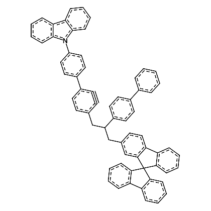 c1c(CC(Cc2ccc3c(c2)C2(c4ccccc4-c4ccccc42)c2ccccc2-3)c2ccc(-c3ccccc3)cc2)ccc(-c2ccc(-n3c4ccccc4c4ccccc43)cc2)c#1